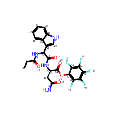 CCC(=O)NC(C(=O)N[C@H](CC(N)=O)C(=O)Oc1c(F)c(F)c(F)c(F)c1F)c1c[nH]c2ccccc12